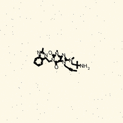 CC#CCn1c(N(C)CC(C)(C)N)nc2c1c(=O)n(Cc1nc(C)nc3ccccc13)c(=O)n2C